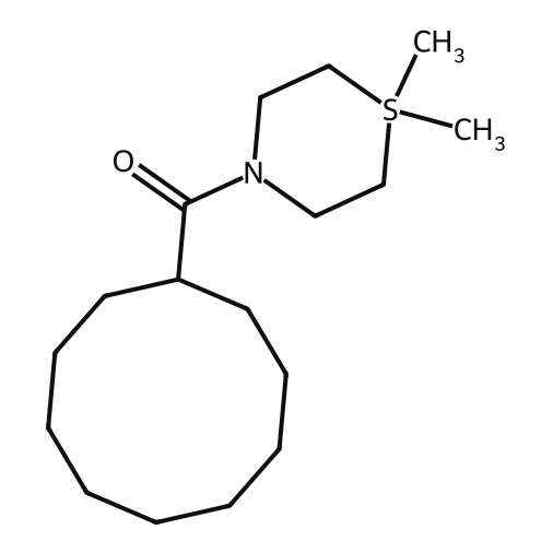 CS1(C)CCN(C(=O)C2CCCCCCCCC2)CC1